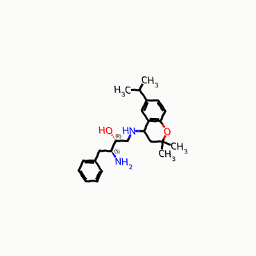 CC(C)c1ccc2c(c1)C(NC[C@@H](O)[C@@H](N)Cc1ccccc1)CC(C)(C)O2